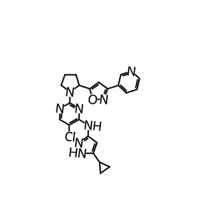 Clc1cnc(N2CCCC2c2cc(-c3cccnc3)no2)nc1Nc1cc(C2CC2)[nH]n1